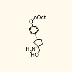 CCCCCCCCOc1ccc([C@@H]2CC[C@@](N)(CO)C2)cc1